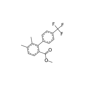 COC(=O)c1ccc(C)c(C)c1-c1ccc(C(F)(F)F)cc1